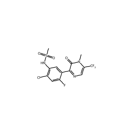 Cn1c(C(F)(F)F)cnc(-c2cc(NS(C)(=O)=O)c(Cl)cc2F)c1=O